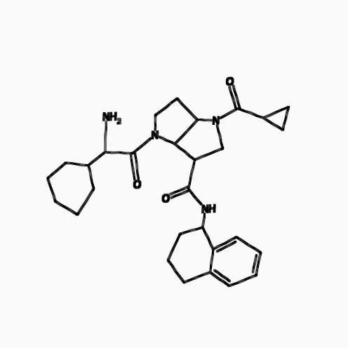 NC(C(=O)N1CCC2C1C(C(=O)NC1CCCc3ccccc31)CN2C(=O)C1CC1)C1CCCCC1